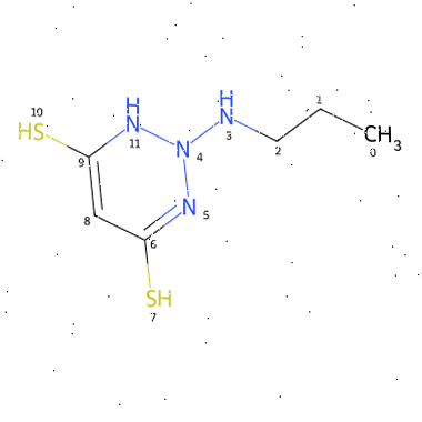 CCCNN1N=C(S)C=C(S)N1